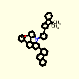 CC1C=CC=C(N(c2cccc(-c3ccc4c(c3)C(C)(C)c3ccccc3-4)c2)c2cccc(-c3cccc4c3ccc3ccccc34)c2)C1c1ccccc1-c1ccccc1